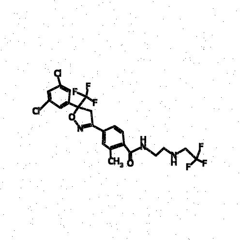 Cc1cc(C2=NOC(c3cc(Cl)cc(Cl)c3)(C(F)(F)F)C2)ccc1C(=O)NCCNCC(F)(F)F